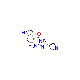 Nc1nc(-c2ccncc2)nn1C(=O)C1CCCc2[nH]ccc21